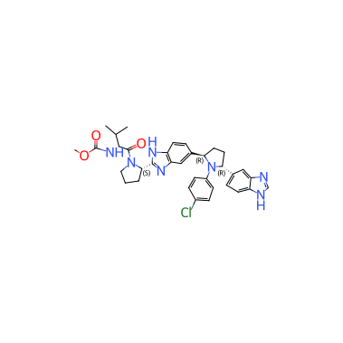 COC(=O)NC(C(=O)N1CCC[C@H]1c1nc2cc([C@H]3CC[C@H](c4ccc5[nH]cnc5c4)N3c3ccc(Cl)cc3)ccc2[nH]1)C(C)C